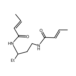 CC=CC(=O)NCCC(CC)NC(=O)C=CC